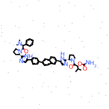 CC(C)C(OC(N)=O)C(=O)N1CCC[C@H]1c1ncc(-c2ccc3cc(-c4ccc(-c5cnc([C@@H]6CCCN6C(=O)C(c6ccccc6)N(C)C)[nH]5)cc4)ccc3c2)[nH]1